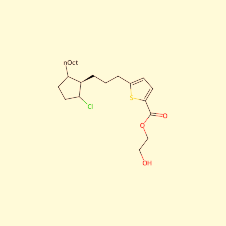 CCCCCCCCC1CCC(Cl)[C@@H]1CCCc1ccc(C(=O)OCCO)s1